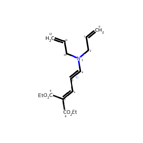 C=CCN(/C=C/C=C(C(=O)OCC)C(=O)OCC)CC=C